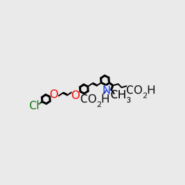 Cc1c(CCCC(=O)O)c2cccc(C=Cc3ccc(OCC=CCOc4ccc(Cl)cc4)cc3)c2n1CC(=O)O